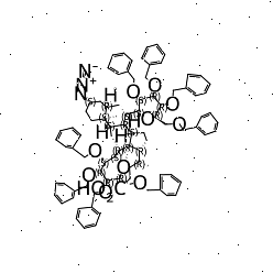 C[C@H](CCC(=O)O)[C@H]1CC[C@H]2[C@@H]3[C@@H]([C@@H]4O[C@H](COCc5ccccc5)[C@@H](OCc5ccccc5)[C@H](OCc5ccccc5)[C@H]4OCc4ccccc4)C[C@@H]4C[C@@H](N=[N+]=[N-])CC[C@]4(C)[C@H]3C[C@@H]([C@@H]3O[C@H](COCc4ccccc4)[C@@H](OCc4ccccc4)[C@H](OCc4ccccc4)[C@H]3OCc3ccccc3)[C@]12C